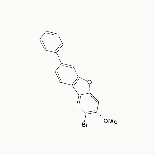 COc1cc2oc3cc(-c4ccccc4)ccc3c2cc1Br